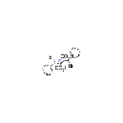 O=C(O)/C(=C(/C(=O)O)C(Br)c1ccccc1)C(Br)c1ccccc1